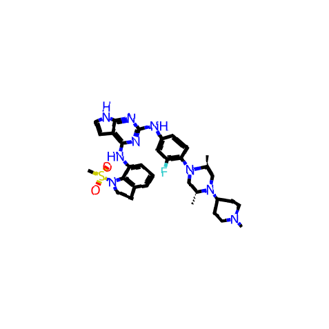 C[C@@H]1CN(c2ccc(Nc3nc(Nc4cccc5c4N(S(C)(=O)=O)CC5)c4cc[nH]c4n3)cc2F)[C@@H](C)CN1C1CCN(C)CC1